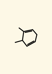 CC1=CCC=CC1C